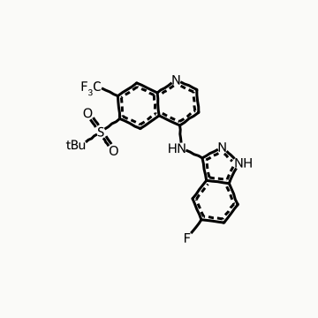 CC(C)(C)S(=O)(=O)c1cc2c(Nc3n[nH]c4ccc(F)cc34)ccnc2cc1C(F)(F)F